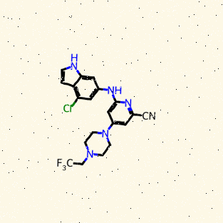 N#Cc1cc(N2CCN(CC(F)(F)F)CC2)cc(Nc2cc(Cl)c3cc[nH]c3c2)n1